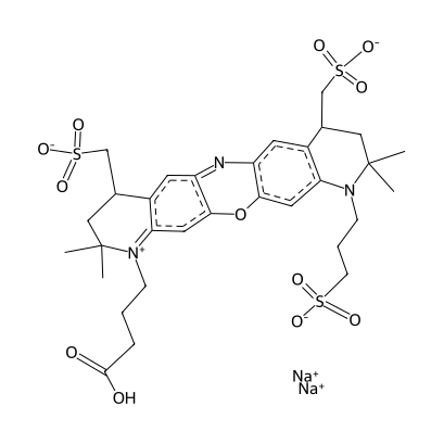 CC1(C)CC(CS(=O)(=O)[O-])c2cc3c(cc2N1CCCS(=O)(=O)[O-])Oc1cc2c(cc1=N3)C(CS(=O)(=O)[O-])CC(C)(C)[N+]=2CCCC(=O)O.[Na+].[Na+]